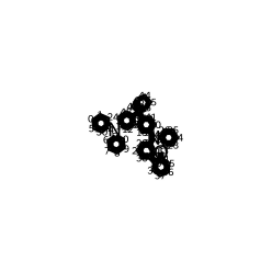 c1ccc(N(c2ccccc2)c2ccc(C3(c4ccc(N(c5ccccc5)c5cccc6c5oc5ccccc56)cc4)CC4CCC3C4)cc2)cc1